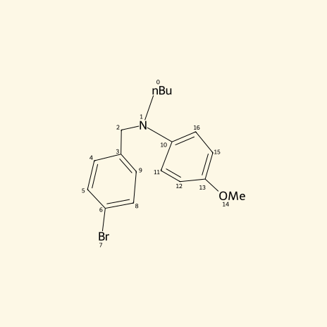 CCCCN(Cc1ccc(Br)cc1)c1ccc(OC)cc1